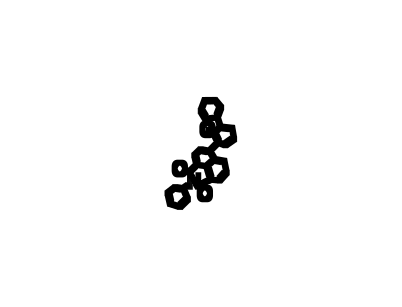 O=C1c2cccc3c(-c4cccc5c4oc4ccccc45)ccc(c23)C(=O)N1c1ccccc1